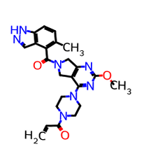 C=CC(=O)N1CCN(c2nc(OC)nc3c2CN(C(=O)c2c(C)ccc4[nH]ncc24)C3)CC1